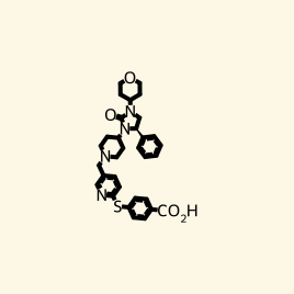 O=C(O)c1ccc(Sc2ccc(CN3CCC(N4C(=O)N(C5CCOCC5)C[C@H]4c4ccccc4)CC3)cn2)cc1